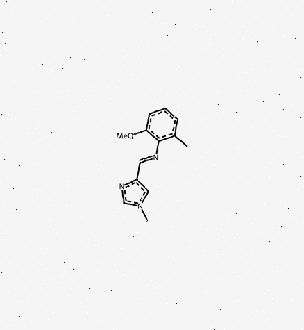 COc1cccc(C)c1N=Cc1cn(C)cn1